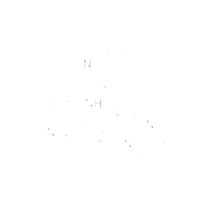 CN1CCC(Cc2ccccn2)(NC(=O)Cc2nccn2C)CC1